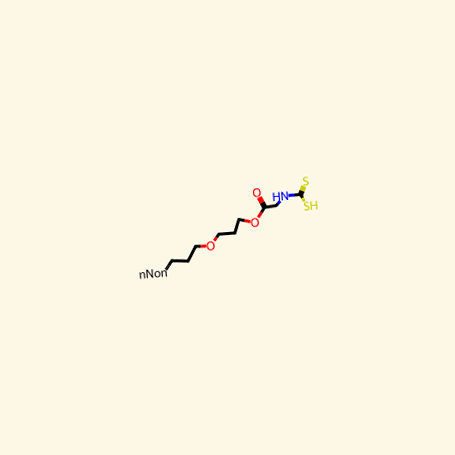 CCCCCCCCCCCCOCCCOC(=O)CNC(=S)S